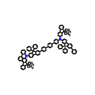 CC1(C)c2ccccc2-c2ccc(N(c3ccc(-c4ccc(-c5ccc(-c6ccc7c(c6)C(c6ccccc6)(c6ccccc6)c6cc(N(c8ccc9c(c8)C(C)(C)c8ccccc8-9)c8ccccc8-c8ccccc8)ccc6-7)cc5)cc4)cc3)c3ccc4c(c3)C(c3ccccc3)(c3ccccc3)c3cc(-c5ccccc5)ccc3-4)cc21